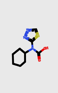 O=C(O)N(c1nncs1)C1CCCCC1